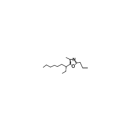 CCCCCCC(CC)c1oc(CCC)nc1C